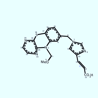 COCN1c2cc(Cn3cnc(/C=C/C(=O)O)c3)ccc2Sc2nccnc21